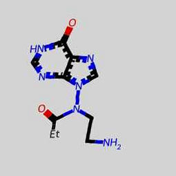 CCC(=O)N(CCN)n1cnc2c(=O)[nH]cnc21